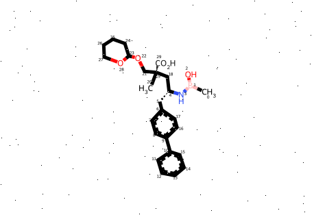 CB(O)N[C@H](Cc1ccc(-c2ccccc2)cc1)C[C@@](C)(COC1CCCCO1)C(=O)O